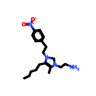 CCCCCC1=C(C)N(CCN)CN1CCc1ccc([N+](=O)[O-])cc1